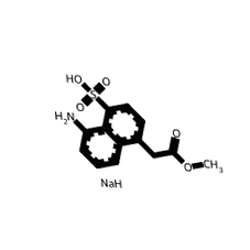 COC(=O)Cc1ccc(S(=O)(=O)O)c2c(N)cccc12.[NaH]